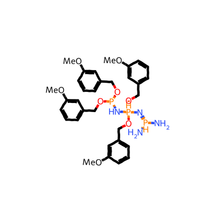 COc1cccc(COP(N[PH](N=[PH](N)N)(OCc2cccc(OC)c2)OCc2cccc(OC)c2)OCc2cccc(OC)c2)c1